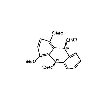 COc1ccc(OC)c2c1[C@H](C=O)c1ccccc1[C@@H]2C=O